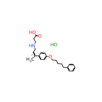 C/C(=C/CNCCC(=O)O)c1ccc(OCCCCCc2ccccc2)cc1.Cl